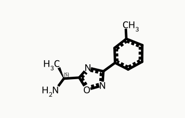 Cc1cccc(-c2noc([C@H](C)N)n2)c1